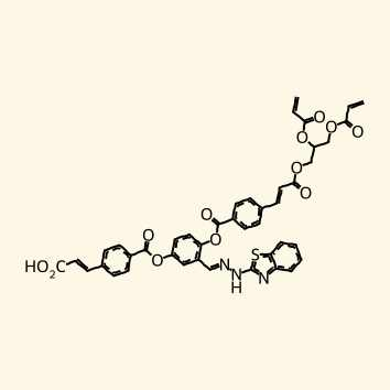 C=CC(=O)OCC(COC(=O)/C=C/c1ccc(C(=O)Oc2ccc(OC(=O)c3ccc(/C=C/C(=O)O)cc3)cc2/C=N/Nc2nc3ccccc3s2)cc1)OC(=O)C=C